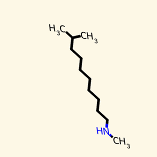 CNCCCCCCCCC(C)C